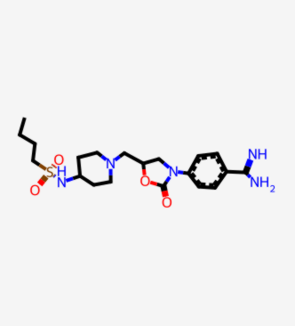 CCCCS(=O)(=O)NC1CCN(CC2CN(c3ccc(C(=N)N)cc3)C(=O)O2)CC1